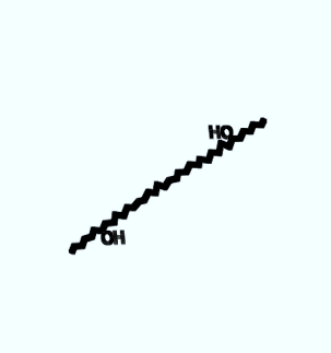 CCCCCCC(O)CCCCCCCCCCCCCCCCCCCCCCCCC(O)CCCCCC